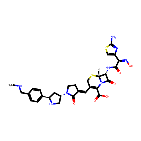 CNCc1ccc([C@H]2C[C@H](N3CC/C(=C\C4=C(C(=O)O)N5C(=O)[C@@H](NC(=O)/C(=N\O)c6csc(N)n6)[C@H]5SC4)C3=O)CN2)cc1